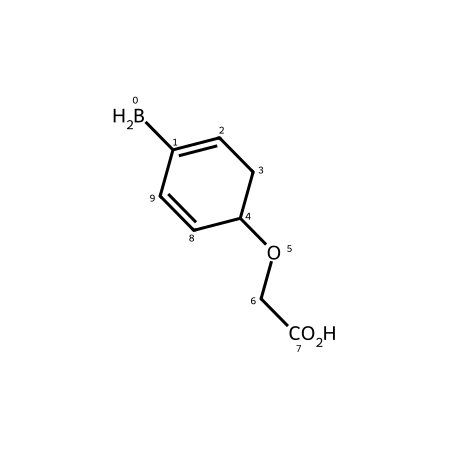 BC1=CCC(OCC(=O)O)C=C1